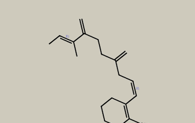 C=C(C/C=C\C1=C(N)CCCC1)CCC(=C)/C(C)=C/C